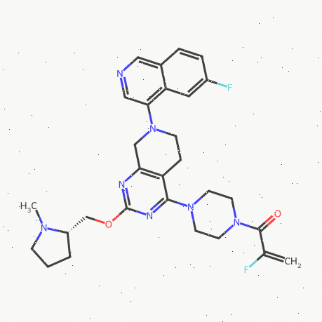 C=C(F)C(=O)N1CCN(c2nc(OC[C@@H]3CCCN3C)nc3c2CCN(c2cncc4ccc(F)cc24)C3)CC1